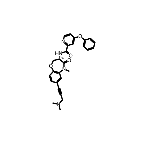 CN(C)CC#Cc1ccc2c(c1)N(C)C(=O)[C@@H](NC(=O)c1cc(Oc3ccccc3)ccn1)CO2